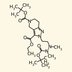 CCOC(=O)c1c2c(nn1CCN(C)N(C)C(=O)OC(C)(C)C)CCN(C(=O)OC(C)(C)C)C2